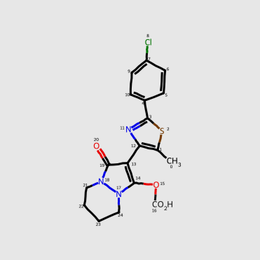 Cc1sc(-c2ccc(Cl)cc2)nc1-c1c(OC(=O)O)n2n(c1=O)CCCC2